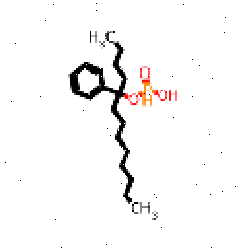 CCCCCCCCC(CCCC)(O[PH](=O)O)c1ccccc1